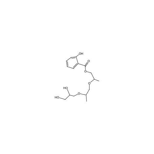 CC(COC(=O)c1ccccc1O)OCC(C)OCC(O)CO